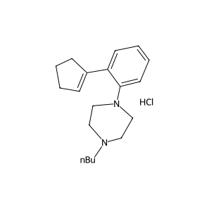 CCCCN1CCN(c2ccccc2C2=CCCC2)CC1.Cl